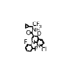 O=C(NC(C1CC1)C(F)(F)F)c1cn(-c2c(F)cccc2F)c2nc(Cl)ccc2c1=O